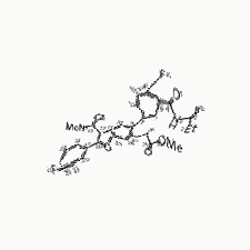 C=C(CC)NC(=O)c1cc(-c2cc3c(C(=O)NC)c(-c4ccc(F)cc4)oc3cc2CC(=O)OC)ccc1F